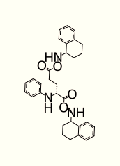 O=C(CC[C@@H](Nc1ccccc1)C(=O)ONC1CCCc2ccccc21)ONC1CCCc2ccccc21